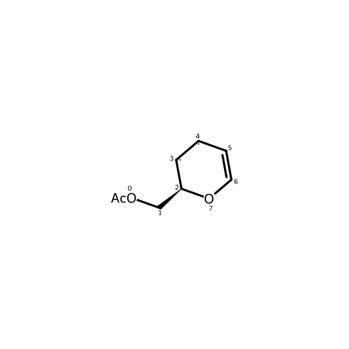 CC(=O)OC[C@H]1[CH][CH]C=CO1